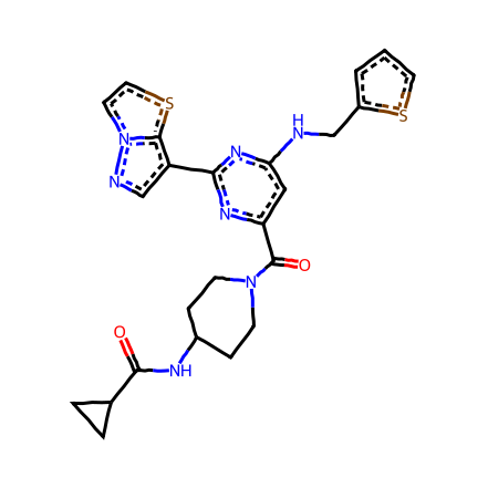 O=C(NC1CCN(C(=O)c2cc(NCc3cccs3)nc(-c3cnn4ccsc34)n2)CC1)C1CC1